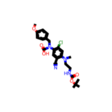 COc1ccc(CN(C(=O)O)c2cc(C#N)c(N(C)CCNC(=O)OC(C)(C)C)cc2Cl)cc1